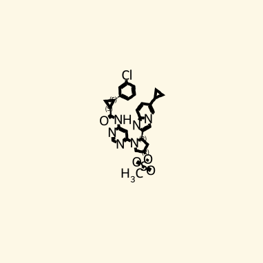 CS(=O)(=O)O[C@@H]1C[C@H](c2cn3cc(C4CC4)ccc3n2)N(c2cc(NC(=O)[C@H]3C[C@@H]3c3cccc(Cl)c3)ncn2)C1